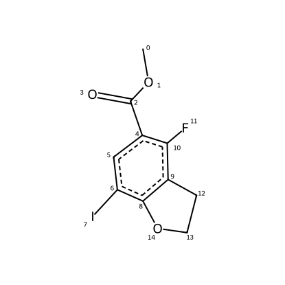 COC(=O)c1cc(I)c2c(c1F)CCO2